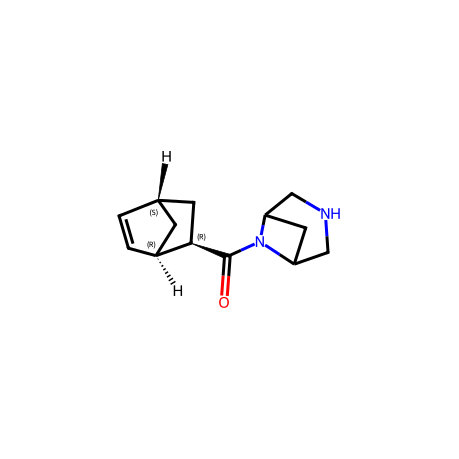 O=C([C@@H]1C[C@H]2C=C[C@H]1C2)N1C2CNCC1C2